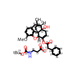 COc1ccc2c3c1O[C@H]1C(OC(=O)[C@@H](OC(=O)CCNC(=O)OC(C)(C)C)c4ccccc4)=CC[C@@]4(O)[C@@H](C2)C(C)CC[C@]314